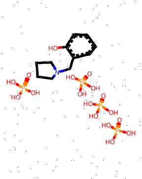 O=P(O)(O)O.O=P(O)(O)O.O=P(O)(O)O.O=P(O)(O)O.Oc1ccccc1CN1CCCC1